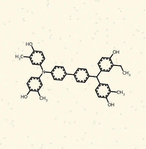 CCc1cc(C(c2ccc(-c3ccc(N(c4ccc(O)c(C)c4)c4ccc(O)c(C)c4)cc3)cc2)c2ccc(O)c(C)c2)ccc1O